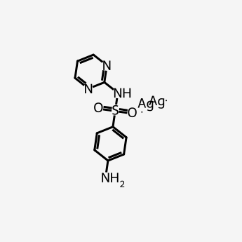 Nc1ccc(S(=O)(=O)Nc2ncccn2)cc1.[Ag].[Ag]